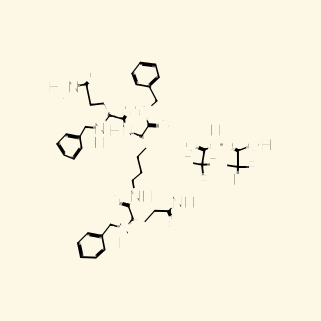 NC(=O)CC[C@H](NCc1ccccc1)C(=O)NCCCC[C@H](NC(=O)[C@H](CCC(N)=O)NCc1ccccc1)C(=O)OCc1ccccc1.O=C(O)C(F)(F)F.O=C(O)C(F)(F)F